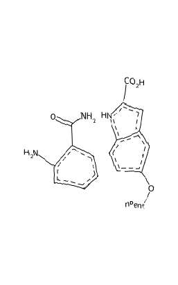 CCCCCOc1ccc2[nH]c(C(=O)O)cc2c1.NC(=O)c1ccccc1N